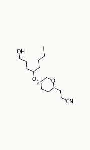 N#CCCC1CC[C@H](OC(CCCO)CCCI)CO1